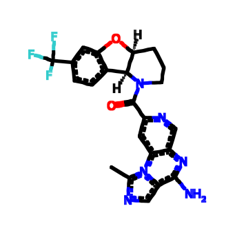 Cc1ncc2c(N)nc3cnc(C(=O)N4CCC[C@@H]5Oc6cc(C(F)(F)F)ccc6[C@@H]54)cc3n12